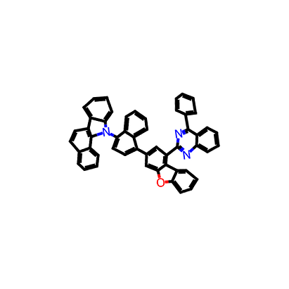 c1ccc(-c2nc(-c3cc(-c4ccc(-n5c6ccccc6c6ccc7ccccc7c65)c5ccccc45)cc4oc5ccccc5c34)nc3ccccc23)cc1